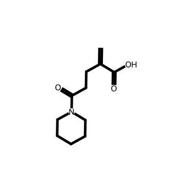 C=C(CCC(=O)N1CCCCC1)C(=O)O